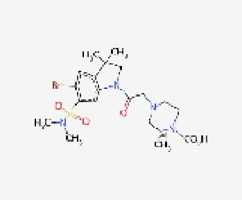 C[C@@H]1CN(CC(=O)N2CC(C)(C)c3cc(Br)c(S(=O)(=O)N(C)C)cc32)CCN1C(=O)O